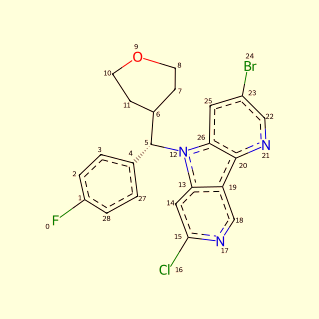 Fc1ccc([C@H](C2CCOCC2)n2c3cc(Cl)ncc3c3ncc(Br)cc32)cc1